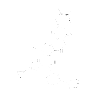 N#Cc1cnc2c(N[C@@H](c3cccc(-c4ncco4)c3)c3cn(C4CC4)nn3)cc(Cl)cc2c1Nc1cnc(F)c(F)c1